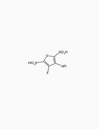 CCCc1c(S(=O)(=O)O)sc(S(=O)(=O)O)c1F